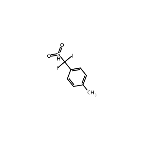 Cc1ccc(C(I)(I)[SH](=O)=O)cc1